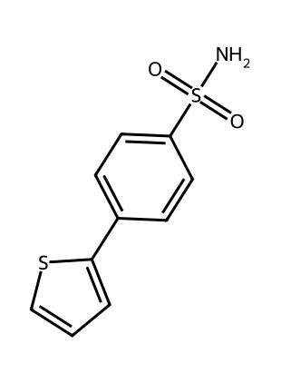 NS(=O)(=O)c1ccc(-c2cccs2)cc1